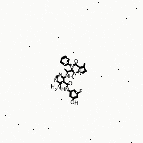 Cc1ccn2nc(C(C)Nc3ncnc(N)c3C(=O)Nc3cc(O)cc(F)c3)n(-c3ccccc3)c(=O)c12